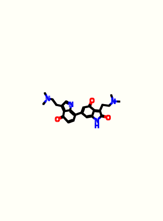 CN(C)CCC1=C2C(=O)C=CC(C3=CC(=O)C4=C(CCN(C)C)C(=O)NC4=C3)=C2N=C1